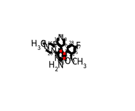 C[C@@H](Oc1cc(-c2ccncc2F)c(N2CCN(C)CC2)nc1N)c1cc(F)ccc1-n1nccn1